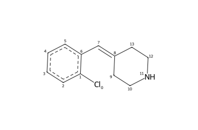 Clc1ccccc1C=C1CCNCC1